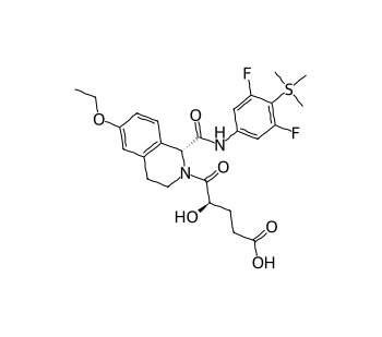 CCOc1ccc2c(c1)CCN(C(=O)[C@H](O)CCC(=O)O)[C@H]2C(=O)Nc1cc(F)c(S(C)(C)C)c(F)c1